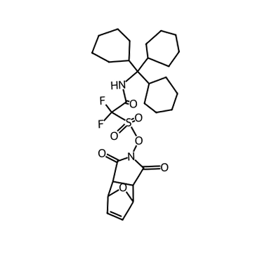 O=C1C2C3C=CC(O3)C2C(=O)N1OS(=O)(=O)C(F)(F)C(=O)NC(C1CCCCC1)(C1CCCCC1)C1CCCCC1